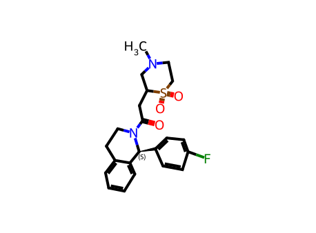 CN1CCS(=O)(=O)C(CC(=O)N2CCc3ccccc3[C@@H]2c2ccc(F)cc2)C1